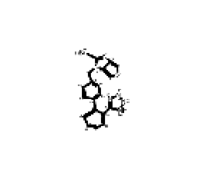 CCCCc1nc2cscc2n1Cc1ccc(-c2ccccc2-c2nnn[nH]2)cc1